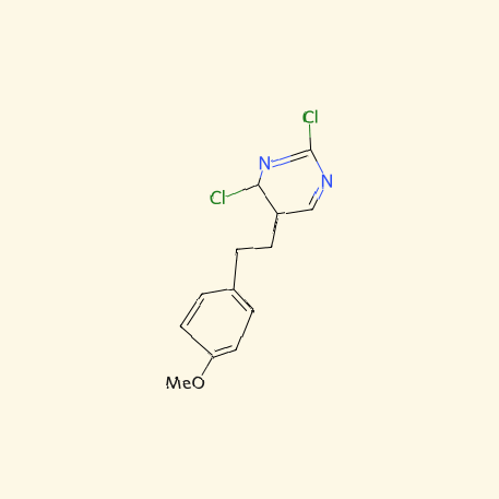 COc1ccc(CCC2C=NC(Cl)=NC2Cl)cc1